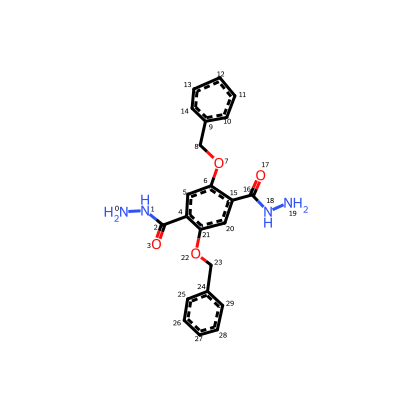 NNC(=O)c1cc(OCc2ccccc2)c(C(=O)NN)cc1OCc1ccccc1